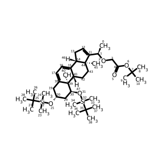 C[C@@H](OCC(=O)OC(C)(C)C)C1=CC[C@H]2C3=CC=C4C[C@@H](O[Si](C)(C)C(C)(C)C)C[C@H](O[Si](C)(C)C(C)(C)C)[C@]4(C)[C@H]3CC[C@]12C